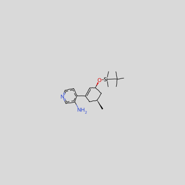 C[C@H]1CC(c2ccncc2N)=C[C@@H](O[Si](C)(C)C(C)(C)C)C1